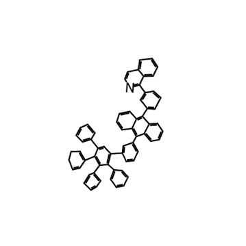 C1=CC(c2c(-c3ccccc3)cc(-c3cccc(-c4c5ccccc5c(-c5cccc(-c6nccc7ccccc67)c5)c5ccccc45)c3)c(-c3ccccc3)c2-c2ccccc2)=CCC1